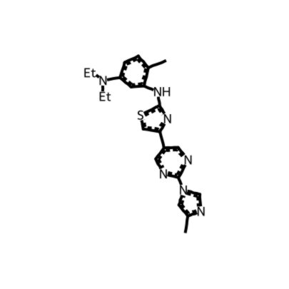 CCN(CC)c1ccc(C)c(Nc2nc(-c3cnc(-n4cnc(C)c4)nc3)cs2)c1